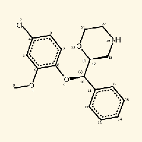 COc1cc(Cl)ccc1O[C@H](c1ccccc1)[C@@H]1CNCCO1